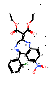 CCOC(=O)C(C(=O)OCC)=C1CN=C(c2ccccc2Cl)c2cc([N+](=O)[O-])ccc2N1